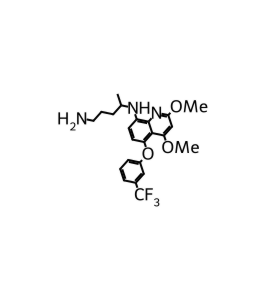 COc1cc(OC)c2c(Oc3cccc(C(F)(F)F)c3)ccc(NC(C)CCCN)c2n1